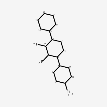 CC1CCC(C2CCC(C3CCCCC3)C(F)C2F)CC1